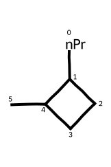 CCCC1CCC1C